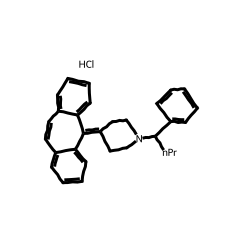 CCCC(c1ccccc1)N1CCC(=C2c3ccccc3C=Cc3ccccc32)CC1.Cl